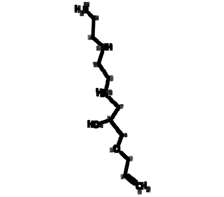 C=CCOCC(O)CNCCNCCN